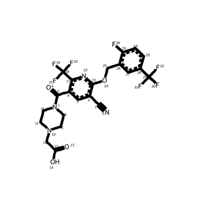 N#Cc1cc(C(=O)N2CCN(CC(=O)O)CC2)c(C(F)(F)F)nc1OCc1cc(C(F)(F)F)ccc1F